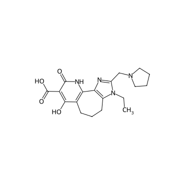 CCn1c(CN2CCCC2)nc2c1CCCc1c-2[nH]c(=O)c(C(=O)O)c1O